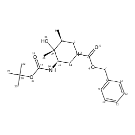 C[C@H]1CN(C(=O)OCc2ccccc2)C[C@@H](NC(=O)OC(C)(C)C)[C@]1(C)O